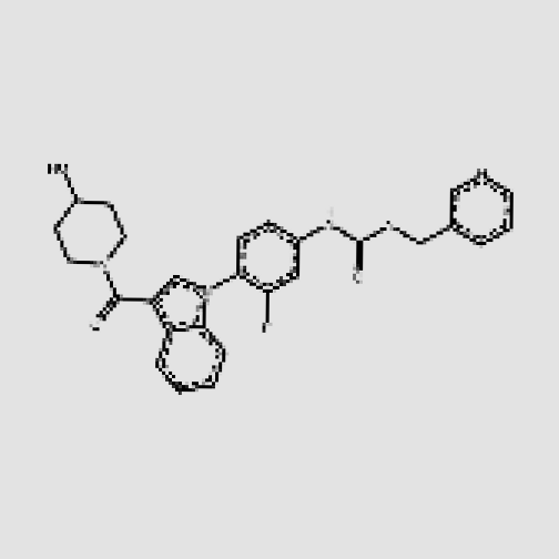 O=C(NCc1cccnc1)Nc1ccc(-n2cc(C(=O)N3CCC(O)CC3)c3ccccc32)c(Cl)c1